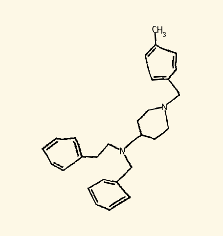 Cc1ccc(CN2CCC(N(CCc3ccccc3)Cc3ccccc3)CC2)cc1